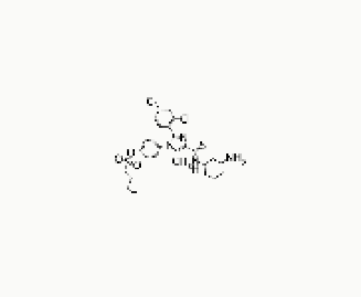 Cc1c(C(=S)NC2CCCC(N)C2)nc(-c2ccc(Cl)cc2Cl)n1-c1ccc(OS(=O)(=O)CCCF)cc1